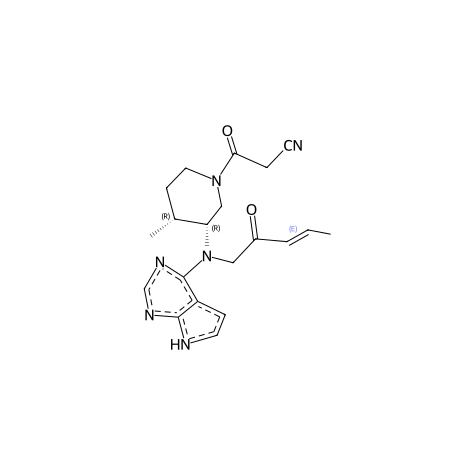 C/C=C/C(=O)CN(c1ncnc2[nH]ccc12)[C@H]1CN(C(=O)CC#N)CC[C@H]1C